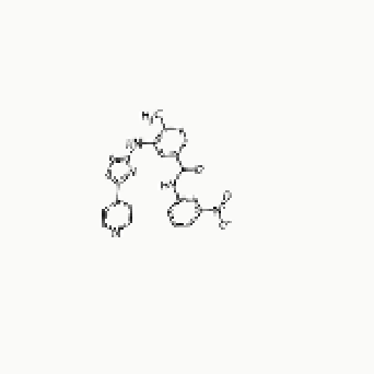 Cc1ccc(C(=O)Nc2cccc([N+](=O)[O-])c2)cc1Nc1nc(-c2ccncc2)cs1